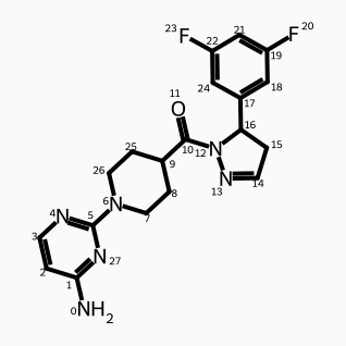 Nc1ccnc(N2CCC(C(=O)N3N=CCC3c3cc(F)cc(F)c3)CC2)n1